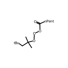 CCCCCC(=O)OOOC(C)(C)CC(C)(C)C